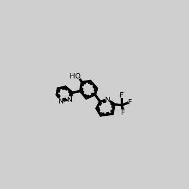 Oc1ccc(-c2cccc(C(F)(F)F)n2)cc1-c1cccnn1